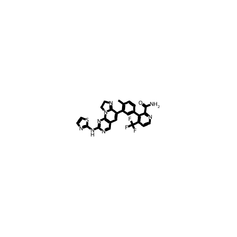 Cc1ccc(-c2c(C(F)(F)F)ccnc2C(N)=O)cc1C1=Cc2cnc(Nc3nccs3)nc2N2CCN=C12